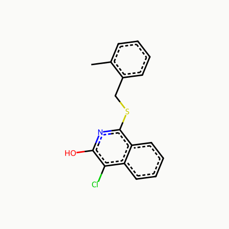 Cc1ccccc1CSc1nc(O)c(Cl)c2ccccc12